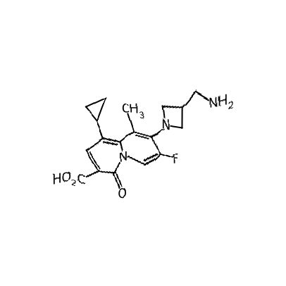 Cc1c(N2CC(CN)C2)c(F)cn2c(=O)c(C(=O)O)cc(C3CC3)c12